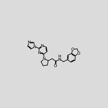 O=C(CC1CCCN1c1ccnc(-n2ccnc2)n1)NCc1ccc2c(c1)OCO2